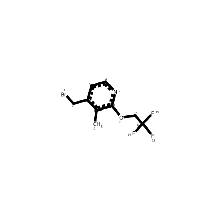 Cc1c(CBr)ccnc1OCC(F)(F)F